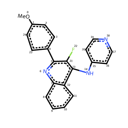 COc1ccc(-c2nc3ccccc3c(Nc3ccncc3)c2F)cc1